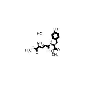 COC(=O)[C@H](Cc1ccc(O)cc1)NC(=O)CC[C@H](N)C(=O)OC.Cl